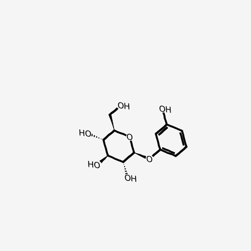 OC[C@H]1O[C@@H](Oc2cccc(O)c2)[C@H](O)[C@@H](O)[C@@H]1O